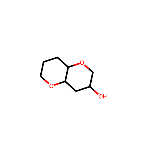 OC1COC2CCCOC2C1